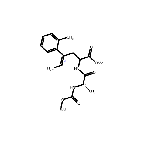 C/C=C(/CC(NC(=O)[C@H](C)NC(=O)OC(C)(C)C)C(=O)OC)c1ccccc1C